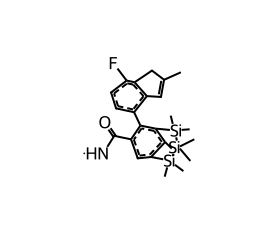 CC1=Cc2c(-c3c(C([NH])=O)cc4c(C)c3[Si](C)(C)[Si](C)(C)[Si]4(C)C)ccc(F)c2C1